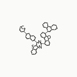 c1ccc(-c2ccc3cc(-c4nc(-c5cccc6oc7c(-c8cc9ccccc9c9ccccc89)cccc7c56)nc5c4sc4ccccc45)ccc3c2)cc1